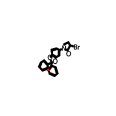 O=C1C(Br)CCN1c1ccc2c(c1)OC(c1ccccc1)(c1ccccc1)O2